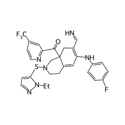 CCn1nccc1SN1CCC2=CC(Nc3ccc(F)cc3)=C(C=N)CC2(C(=O)c2cc(C(F)(F)F)ccn2)C1